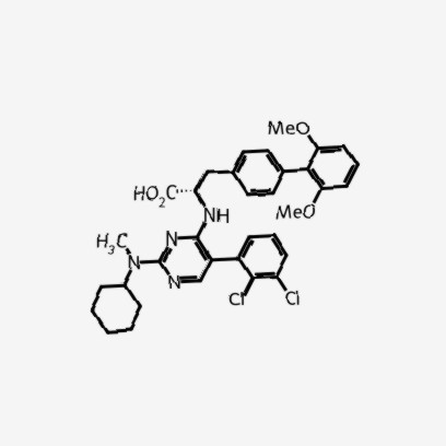 COc1cccc(OC)c1-c1ccc(C[C@H](Nc2nc(N(C)C3CCCCC3)ncc2-c2cccc(Cl)c2Cl)C(=O)O)cc1